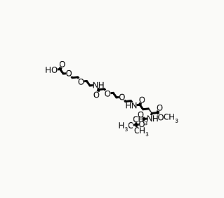 COC(=O)[C@H](CCC(=O)NCCOCCOCC(=O)NCCOCCOCC(=O)O)NC(=O)OC(C)(C)C